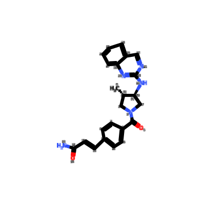 C[C@H]1CN(C(=O)c2ccc(C=CC(N)=O)cc2)C[C@@H]1Nc1ncc2ccccc2n1